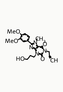 C#CCn1c(=O)c2c(nc(-c3ccc(OC)c(OC)c3)n2C)n(CCCO)c1=O